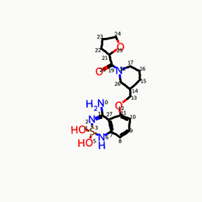 NC1=NS(O)(O)Nc2cccc(OCC3CCCN(C(=O)C4CCCO4)C3)c21